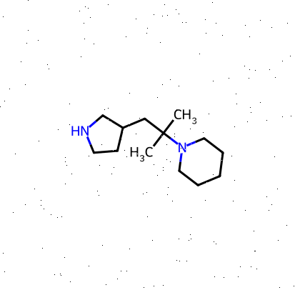 CC(C)(CC1CCNC1)N1CCCCC1